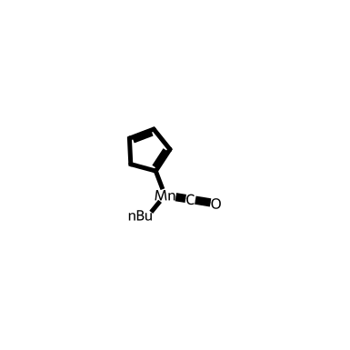 CCC[CH2][Mn](=[C]=O)[C]1=CC=CC1